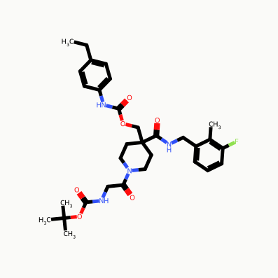 CCc1ccc(NC(=O)OCC2(C(=O)NCc3cccc(F)c3C)CCN(C(=O)CNC(=O)OC(C)(C)C)CC2)cc1